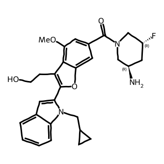 COc1cc(C(=O)N2C[C@H](N)C[C@@H](F)C2)cc2oc(-c3cc4ccccc4n3CC3CC3)c(CCO)c12